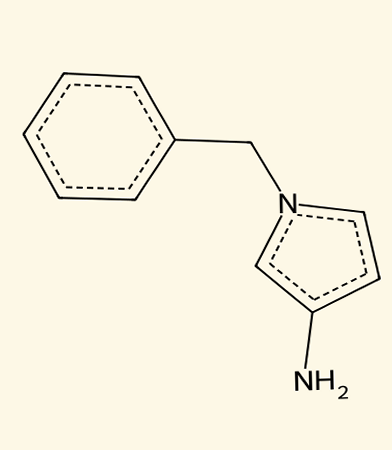 Nc1ccn(Cc2ccccc2)c1